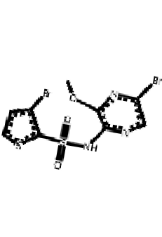 COc1nc(Br)cnc1NS(=O)(=O)c1sccc1Br